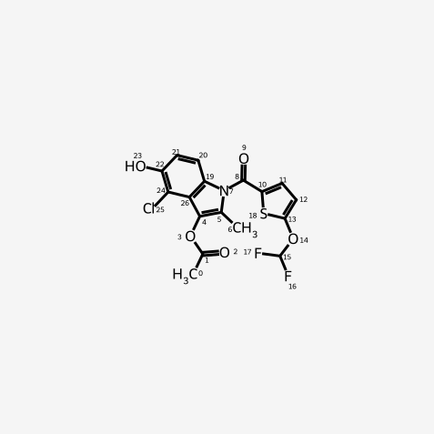 CC(=O)Oc1c(C)n(C(=O)c2ccc(OC(F)F)s2)c2ccc(O)c(Cl)c12